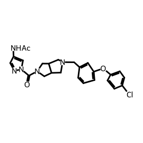 CC(=O)Nc1cnn(C(=O)N2CC3CN(Cc4cccc(Oc5ccc(Cl)cc5)c4)CC3C2)c1